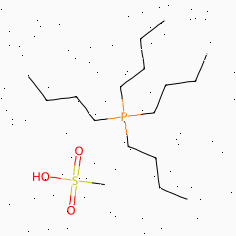 CCCC[P](CCCC)(CCCC)CCCC.CS(=O)(=O)O